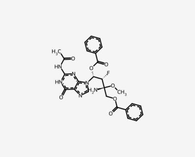 CO[C@](N)(COC(=O)c1ccccc1)[C@@H](F)[C@@H](OC(=O)c1ccccc1)n1cnc2c(=O)[nH]c(NC(C)=O)nc21